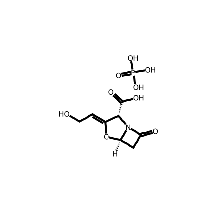 O=C(O)[C@H]1/C(=C/CO)O[C@@H]2CC(=O)N21.O=P(O)(O)O